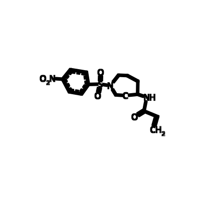 C=CC(=O)NC1CCCN(S(=O)(=O)c2ccc([N+](=O)[O-])cc2)CC1